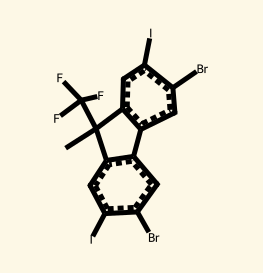 CC1(C(F)(F)F)c2cc(I)c(Br)cc2-c2cc(Br)c(I)cc21